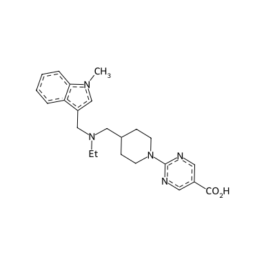 CCN(Cc1cn(C)c2ccccc12)CC1CCN(c2ncc(C(=O)O)cn2)CC1